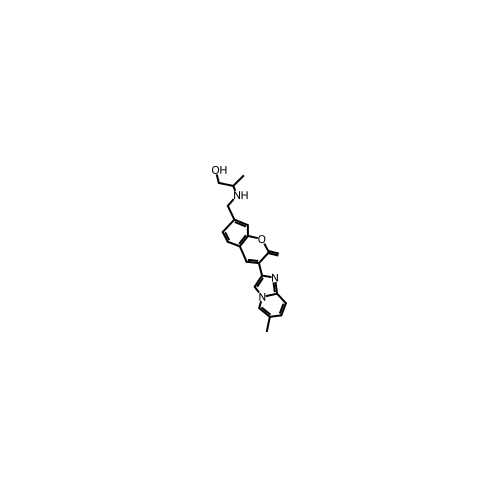 C=C1Oc2cc(CNC(C)CO)ccc2C=C1c1cn2cc(C)ccc2n1